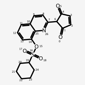 O=C1C=CC(=O)C1c1ccc2cccc(OS(=O)(=O)C3CCCCC3)c2n1